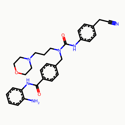 N#CCc1ccc(NC(=O)N(CCCN2CCOCC2)Cc2ccc(C(=O)Nc3ccccc3N)cc2)cc1